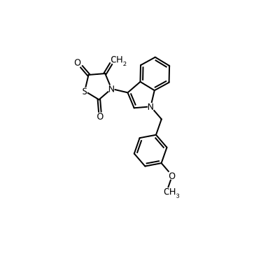 C=C1C(=O)SC(=O)N1c1cn(Cc2cccc(OC)c2)c2ccccc12